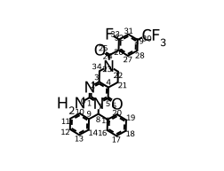 Nc1nc2c(c(=O)n1C(c1ccccc1)c1ccccc1)CCN(C(=O)c1ccc(C(F)(F)F)cc1F)C2